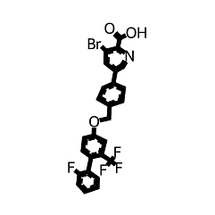 O=C(O)c1ncc(-c2ccc(COc3ccc(-c4ccccc4F)c(C(F)(F)F)c3)cc2)cc1Br